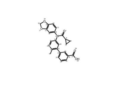 Cc1ncc(N(C(=O)C2CC2)c2ccc3c(c2)OCO3)cc1-c1cccc(C(=O)O)c1